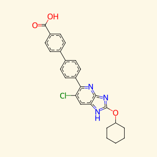 O=C(O)c1ccc(-c2ccc(-c3nc4nc(OC5CCCCC5)[nH]c4cc3Cl)cc2)cc1